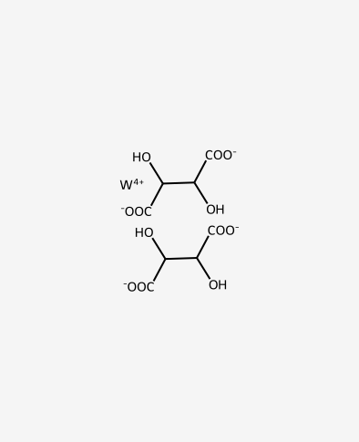 O=C([O-])C(O)C(O)C(=O)[O-].O=C([O-])C(O)C(O)C(=O)[O-].[W+4]